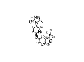 Cc1n[nH]c(=O)n1-c1ccc(Oc2ccc3c(c2)[C@@H](C(C)(C)C)OC3)nc1